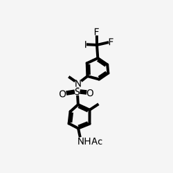 CC(=O)Nc1ccc(S(=O)(=O)N(C)c2cccc(C(F)(F)I)c2)c(C)c1